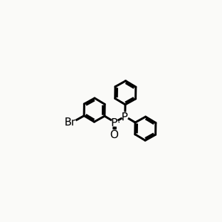 O=[P](c1cccc(Br)c1)P(c1ccccc1)c1ccccc1